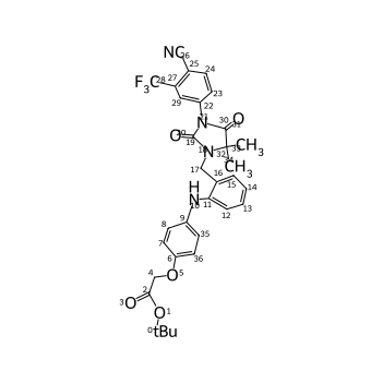 CC(C)(C)OC(=O)COc1ccc(Nc2ccccc2CN2C(=O)N(c3ccc(C#N)c(C(F)(F)F)c3)C(=O)C2(C)C)cc1